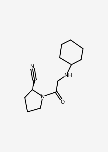 N#C[C@@H]1CCCN1C(=O)CNC1CCCCC1